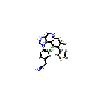 N#CCc1ccc(-n2cnc3cnc4cc(F)c(-c5ccsc5)cc4c32)c(Cl)c1